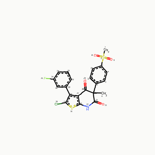 CC1(c2ccc(S(C)(=O)=O)cc2)C(=O)Nc2sc(Cl)c(-c3cccc(F)c3)c2C1=O